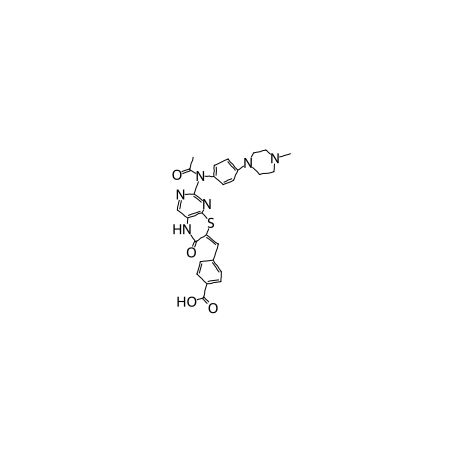 CC(=O)N(c1ccc(N2CCN(C)CC2)cc1)c1ncc2c(n1)S/C(=C/c1ccc(C(=O)O)cc1)C(=O)N2